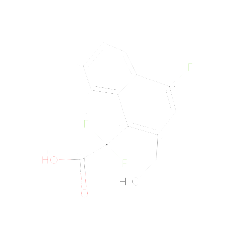 CCc1cc(F)c2ccccc2c1C(F)(F)C(=O)O